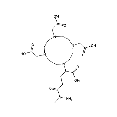 CN(N)C(=O)CCC(C(=O)O)N1CCN(CC(=O)O)CCN(CC(=O)O)CCN(CC(=O)O)CC1